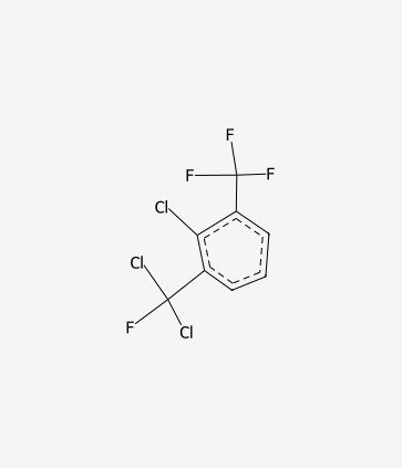 FC(F)(F)c1cccc(C(F)(Cl)Cl)c1Cl